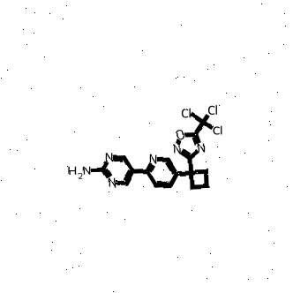 Nc1ncc(-c2ccc(C3(c4noc(C(Cl)(Cl)Cl)n4)CCC3)cn2)cn1